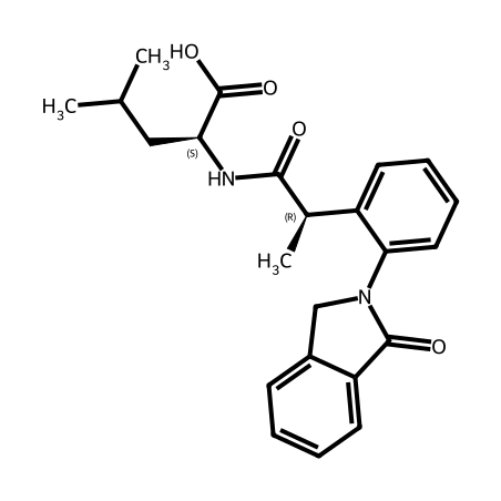 CC(C)C[C@H](NC(=O)[C@H](C)c1ccccc1N1Cc2ccccc2C1=O)C(=O)O